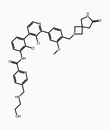 COc1cc(-c2nccc(-c3cccc(NC(=O)c4ccc(CNCCO)cn4)c3Cl)c2Cl)ccc1CN1CC2(CNC(=O)C2)C1